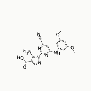 COc1cc(Nc2cc(C#N)nc(-n3ncc(C(=O)O)c3N)n2)cc(OC)c1